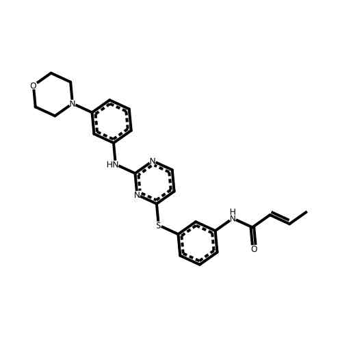 CC=CC(=O)Nc1cccc(Sc2ccnc(Nc3cccc(N4CCOCC4)c3)n2)c1